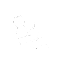 CC[C@H]1CC[C@H]2[C@H]3[C@H]([C@@H](O)C[C@]12C)[C@@]1(C)CC=CCC1C[C@H]3Cl